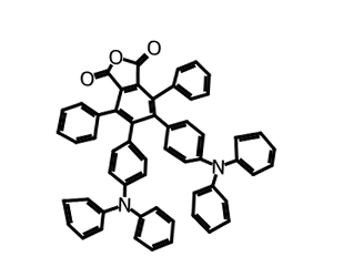 O=C1OC(=O)c2c1c(-c1ccccc1)c(-c1ccc(N(c3ccccc3)c3ccccc3)cc1)c(-c1ccc(N(c3ccccc3)c3ccccc3)cc1)c2-c1ccccc1